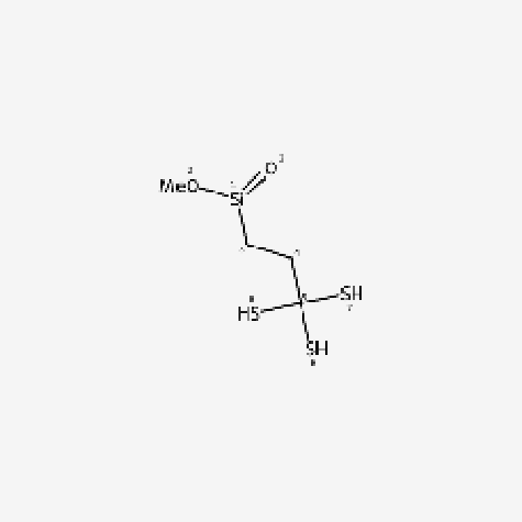 CO[Si](=O)CCC(S)(S)S